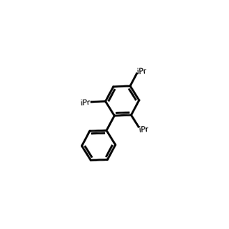 CC(C)c1cc(C(C)C)c(-c2ccccc2)c(C(C)C)c1